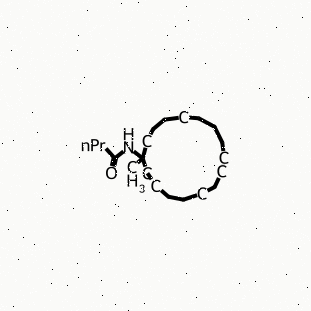 CCCC(=O)NC1(C)CCCCCCCCCCCCCCC1